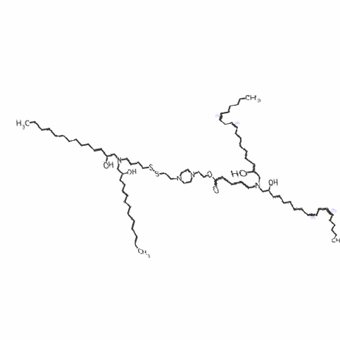 CCCCC/C=C\C/C=C\CCCCCCC(O)CN(CCCCC(=O)OCCN1CCN(CCSSCCCCN(CC(O)CCCCCCCCCCCC)CC(O)CCCCCCCCCCCC)CC1)CC(O)CCCCCC/C=C\C/C=C\CCCCC